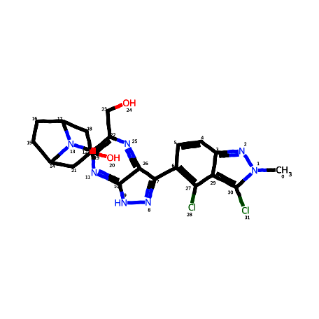 Cn1nc2ccc(-c3n[nH]c4nc(N5C6CCC5CC(O)C6)c(CO)nc34)c(Cl)c2c1Cl